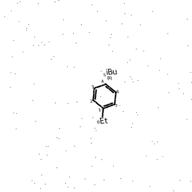 CCc1ccc([C@H](C)CC)cc1